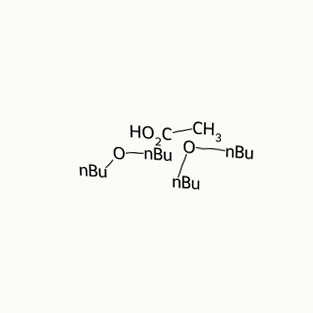 CC(=O)O.CCCCOCCCC.CCCCOCCCC